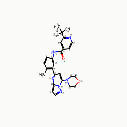 Cc1ccc(NC(=O)c2ccnc(C(C)(C)C#N)c2)cc1-c1cc(N2CCOCC2)n2nccc2n1